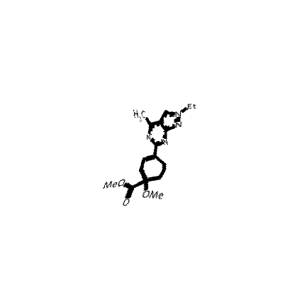 CCn1cc2c(C)nc(C3=CCC(OC)(C(=O)OC)CC3)nc2n1